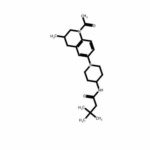 CC(=O)N1CC(C)Cc2cc(N3CCC(NC(=O)CC(C)(C)C)CC3)ccc21